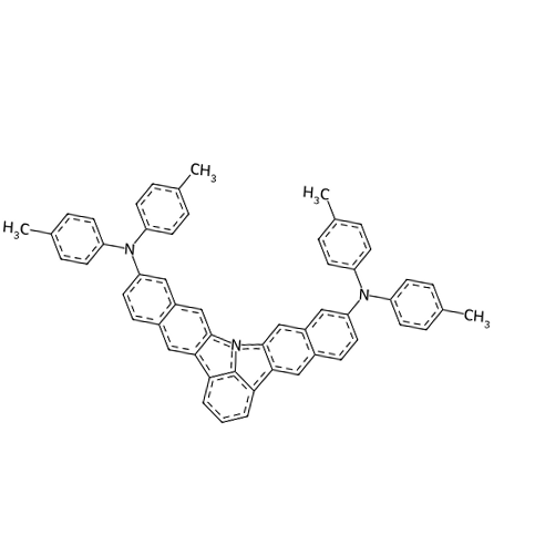 Cc1ccc(N(c2ccc(C)cc2)c2ccc3cc4c5cccc6c7cc8ccc(N(c9ccc(C)cc9)c9ccc(C)cc9)cc8cc7n(c4cc3c2)c56)cc1